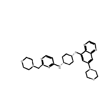 c1cc(N[C@H]2CC[C@@H](Oc3cc(N4CCOCC4)cc4nccnc34)CC2)nc(CN2CCOCC2)n1